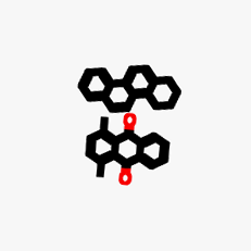 Cc1ccc(C)c2c1C(=O)c1ccccc1C2=O.c1ccc2c(c1)ccc1c3c(ccc12)CCCC3